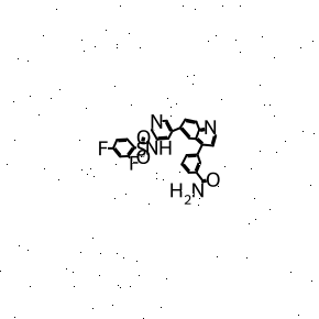 NC(=O)c1cccc(-c2ccnc3ccc(-c4cncc(NS(=O)(=O)c5ccc(F)cc5F)c4)cc23)c1